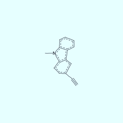 C#Cc1ccc2c(c1)c1ccccc1n2C